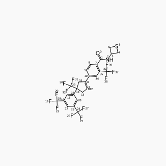 O=C(NC1CSC1)c1ccc(C2=NCC(c3cc(C(F)(F)F)cc(C(F)(F)F)c3)(C(F)(F)F)C2)cc1C(F)(F)F